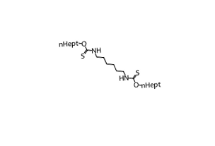 CCCCCCCOC(=S)NCCCCCCNC(=S)OCCCCCCC